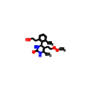 COOCCC1=C(C)NC(=O)NC1c1c(C)cccc1CCO